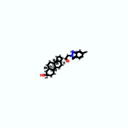 Cc1ccc2cn(CC(=O)[C@H]3CC[C@H]4[C@@H]5CC[C@@H]6C[C@](C)(O)CC[C@]6(C)[C@H]5CC[C@]34C)nc2c1